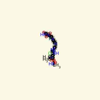 CNC(=O)COc1cc2cc(Nc3nc(N4CCC(CN5CCC6(CC5)CCN(c5ccc7c(c5F)CN(C5CCC(=O)NC5=O)C7=O)CC6)CC4)ncc3Cl)ccc2n(C(C)C)c1=O